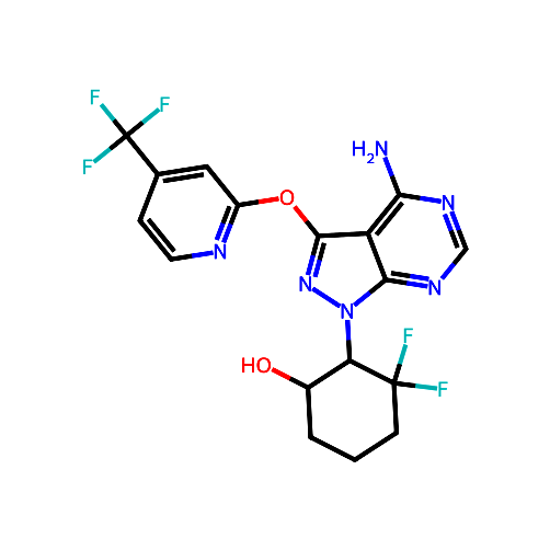 Nc1ncnc2c1c(Oc1cc(C(F)(F)F)ccn1)nn2C1C(O)CCCC1(F)F